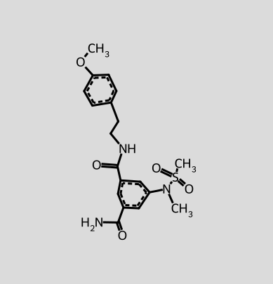 COc1ccc(CCNC(=O)c2cc(C(N)=O)cc(N(C)S(C)(=O)=O)c2)cc1